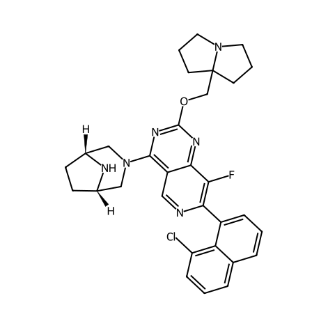 Fc1c(-c2cccc3cccc(Cl)c23)ncc2c(N3C[C@H]4CC[C@@H](C3)N4)nc(OCC34CCCN3CCC4)nc12